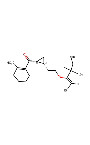 CCC(CC)=C(OCC[C@H]1C[C@H]1C(=O)C1=C(C(=O)O)CCCC1)C(C)(CC(C)(C)C)C(C)(C)C